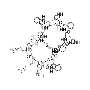 C[C@@H]1NC(=O)[C@@H]2CSS[C@H](NC(=O)[C@H](Cc3c[nH]c4ccccc34)N[C@](C=O)(CCCCN)NC(=O)[C@H](CCCCN)NC(=O)[C@H](CCCCN)NC1=O)C(=O)N1CCCC[C@H]1C(=O)N[C@@H](Cc1c[nH]cn1)C(=O)N[C@H](Cc1ccccc1)C(=O)N[C@@H](Cc1c[nH]cn1)C(=O)N[C@@H](Cc1c[nH]c3ccccc13)C(=O)N2